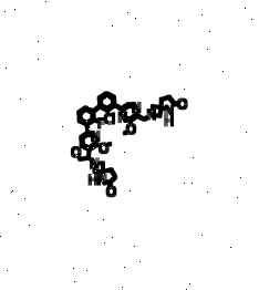 COc1nc(-c2cccc(-c3cccc(-c4cc5c(c(OC)n4)[C@@H](N4CC6(CCC(=O)N6)C4)CO5)c3F)c2Cl)cnc1CN1CC2(CCC(=O)N2)C1